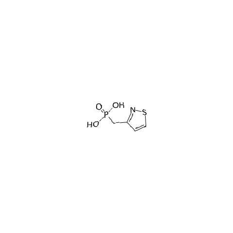 O=P(O)(O)Cc1ccsn1